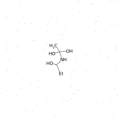 CC[C](O)NC(C)(O)O